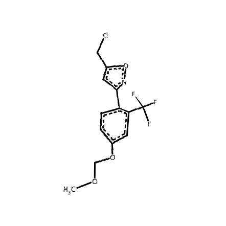 COCOc1ccc(-c2cc(CCl)on2)c(C(F)(F)F)c1